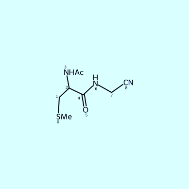 CSCC(NC(C)=O)C(=O)NCC#N